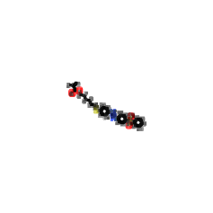 C=C(C)C(=O)OCCCCCCSc1ccc(/N=N/c2ccc(S(=O)(=O)c3ccccc3)cc2)cc1